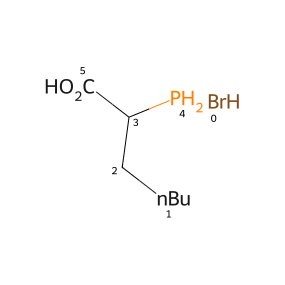 Br.CCCCCC(P)C(=O)O